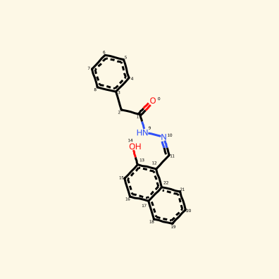 O=C(Cc1ccccc1)N/N=C\c1c(O)ccc2ccccc12